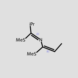 C/C=C(\N=C(/SC)C(C)C)SC